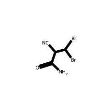 N#CC(C(N)=O)C(Br)Br